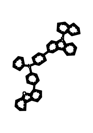 c1ccc(N(c2ccc(-c3ccc4c(c3)c3ccccc3n4-c3cccc4ccccc34)cc2)c2ccc(-c3cccc4c3oc3ccccc34)cc2)cc1